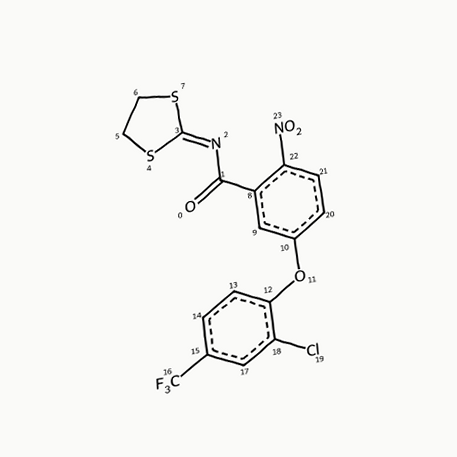 O=C(N=C1SCCS1)c1cc(Oc2ccc(C(F)(F)F)cc2Cl)ccc1[N+](=O)[O-]